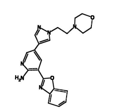 Nc1ncc(-c2cnn(CCN3CCOCC3)c2)cc1-c1nc2ccccc2o1